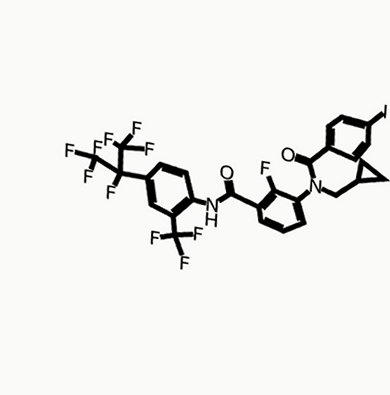 O=C(Nc1ccc(C(F)(C(F)(F)F)C(F)(F)F)cc1C(F)(F)F)c1cccc(N(CC2CC2)C(=O)c2ccc(I)cc2)c1F